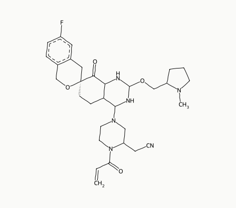 C=CC(=O)N1CCN(C2NC(OCC3CCCN3C)NC3C(=O)[C@]4(CCC32)Cc2cc(F)ccc2CO4)CC1CC#N